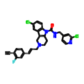 N#Cc1ccc(C=CCN2CCc3c(c4cc(Cl)ccc4n3C(=O)NCc3ccnc(Cl)c3)C2)cc1F